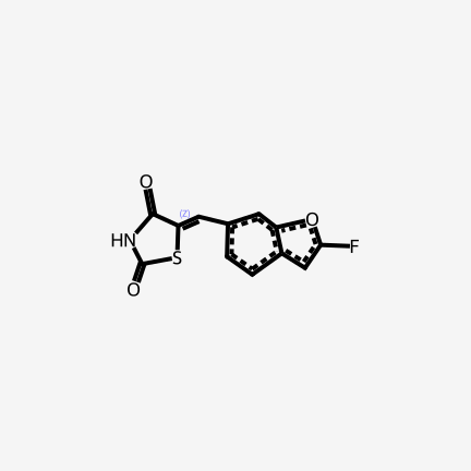 O=C1NC(=O)/C(=C/c2ccc3cc(F)oc3c2)S1